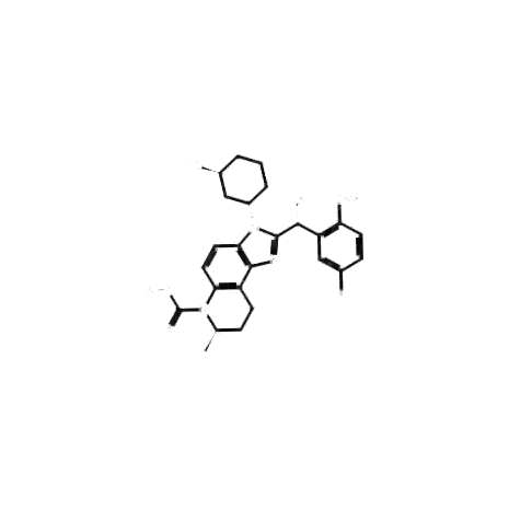 COC(=O)N1c2ccc3c(nc([C@H](O)c4cc(F)ccc4OC)n3[C@H]3CCC[C@H](C(=O)O)C3)c2CC[C@H]1C